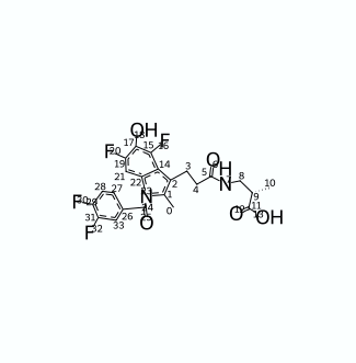 Cc1c(CCC(=O)NC[C@H](C)C(=O)O)c2c(F)c(O)c(F)cc2n1C(=O)c1ccc(F)c(F)c1